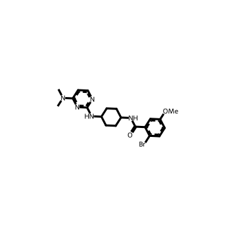 COc1ccc(Br)c(C(=O)NC2CCC(Nc3nccc(N(C)C)n3)CC2)c1